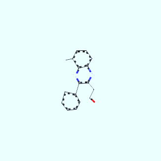 Cc1cccc2nc(CC=O)c(-c3ccccc3)nc12